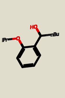 CCCCC(O)c1ccccc1OC(C)C